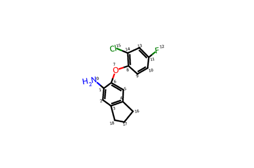 Nc1cc2c(cc1Oc1ccc(F)cc1Cl)CCC2